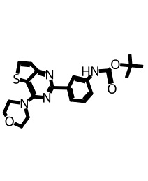 CC(C)(C)OC(=O)Nc1cccc(-c2nc(N3CCOCC3)c3sccc3n2)c1